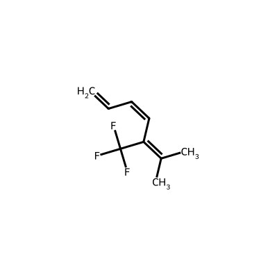 C=C/C=C\C(=C(C)C)C(F)(F)F